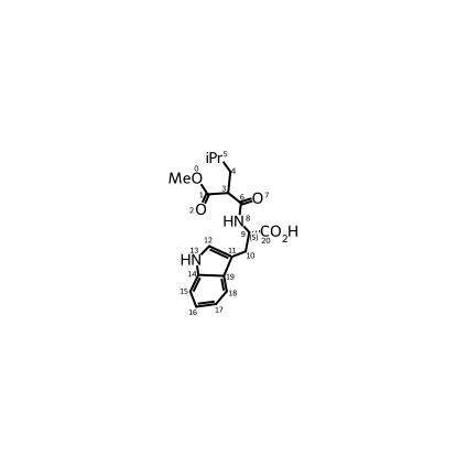 COC(=O)C(CC(C)C)C(=O)N[C@@H](Cc1c[nH]c2ccccc12)C(=O)O